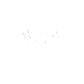 CO[C@H]1CCN(C[C@H](c2cccc(OCc3nn[nH]n3)c2)N(C)C(=O)Cc2cccc3cocc23)C1